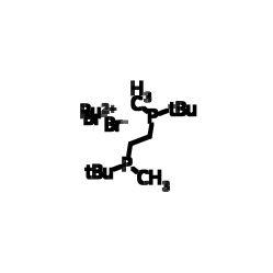 CP(CCP(C)C(C)(C)C)C(C)(C)C.[Br-].[Br-].[Ru+2]